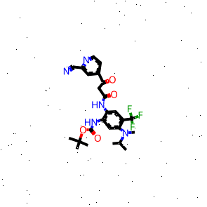 CC(C)N(C)c1cc(NC(=O)OC(C)(C)C)c(NC(=O)CC(=O)c2ccnc(C#N)c2)cc1C(F)(F)F